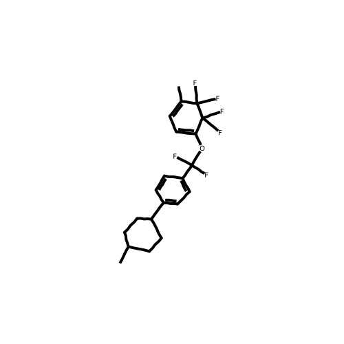 CC1=CC=C(OC(F)(F)c2ccc(C3CCC(C)CC3)cc2)C(F)(F)C1(F)F